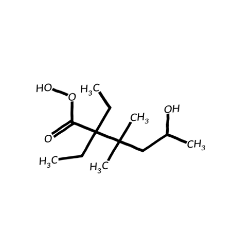 CCC(CC)(C(=O)OO)C(C)(C)CC(C)O